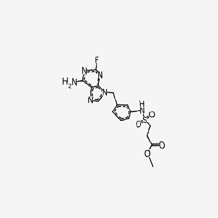 COC(=O)CCS(=O)(=O)Nc1cccc(Cn2cnc3c(N)nc(F)nc32)c1